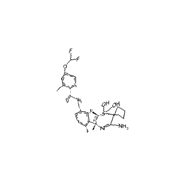 Cc1cc(OC(F)F)cnc1C(=O)Nc1ccc(F)c([C@@]2(C)N=C(N)C3(CCC3)S(O)(O)[C@@H]2F)c1